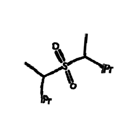 CC(C)C(C)S(=O)(=O)C(C)C(C)C